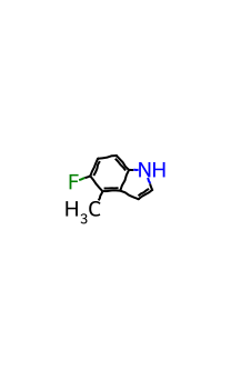 Cc1c(F)ccc2[nH]ccc12